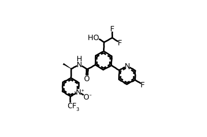 C[C@@H](NC(=O)c1cc(-c2ccc(F)cn2)cc(C(O)C(F)F)c1)c1ccc(C(F)(F)F)[n+]([O-])c1